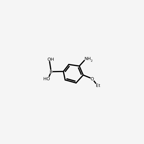 CCOc1ccc(B(O)O)cc1N